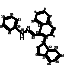 C1=CC(c2ccc3ccccc3c2C=NNc2ccccc2)c2ccccc21